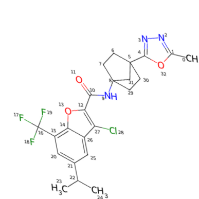 Cc1nnc(C23CCC(NC(=O)c4oc5c(C(F)(F)F)cc(C(C)C)cc5c4Cl)(CC2)C3)o1